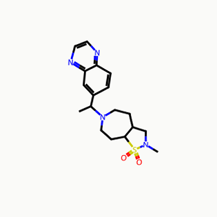 CC(c1ccc2nccnc2c1)N1CCC2CN(C)S(=O)(=O)C2CC1